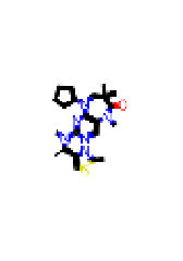 Cc1nc([C@@H](C)N(C)c2ncc3c(n2)N(C2CCCC2)CC(C)(C)C(=O)N3C)cs1